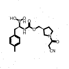 Cc1ccc(C[C@H](NC(=O)OC[C@H]2CCN(C(=O)CC#N)C2)B(O)O)cc1